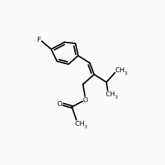 CC(=O)OCC(=Cc1ccc(F)cc1)C(C)C